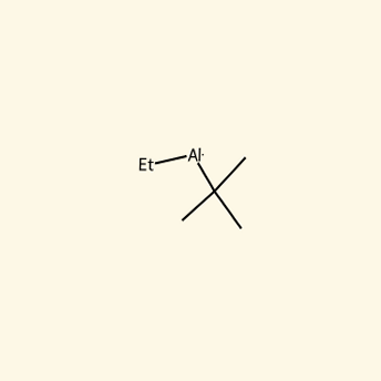 C[CH2][Al][C](C)(C)C